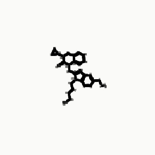 NCc1ccc2c(c1)nc(CN1C(=O)N(C3CC3)Cc3ccccc31)n2CCCCO